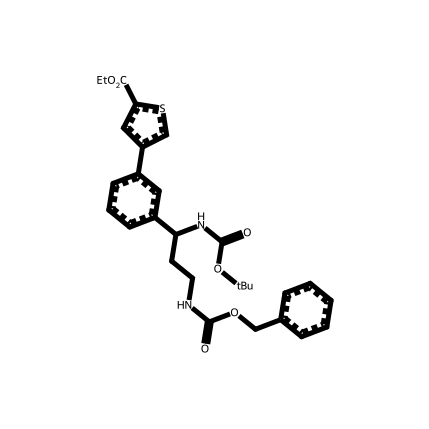 CCOC(=O)c1cc(-c2cccc(C(CCNC(=O)OCc3ccccc3)NC(=O)OC(C)(C)C)c2)cs1